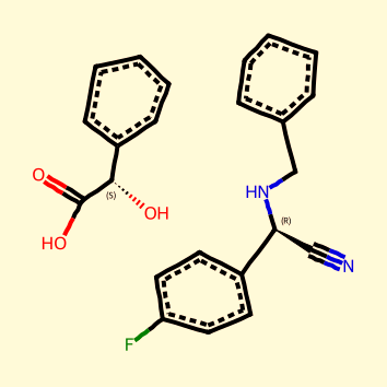 N#C[C@H](NCc1ccccc1)c1ccc(F)cc1.O=C(O)[C@@H](O)c1ccccc1